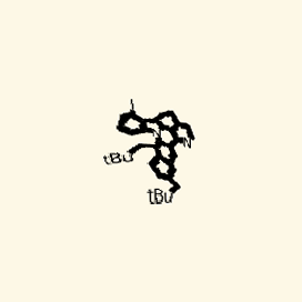 CC(C)(C)Cc1ccc2c(CC(C)(C)C)c3c(cc2c1)c1nccc2ccc4c5c(I)cccc5n3c4c21